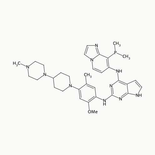 COc1cc(N2CCC(N3CCN(C)CC3)CC2)c(C)cc1Nc1nc(Nc2ccn3ccnc3c2P(C)C)c2cc[nH]c2n1